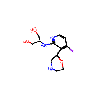 OCC(CO)Nc1nccc(I)c1C1CNCCO1